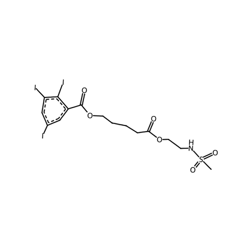 CS(=O)(=O)NCCOC(=O)CCCCOC(=O)c1cc(I)cc(I)c1I